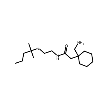 CCCC(C)(C)SCCNC(=O)CC1(CN)CCCCC1